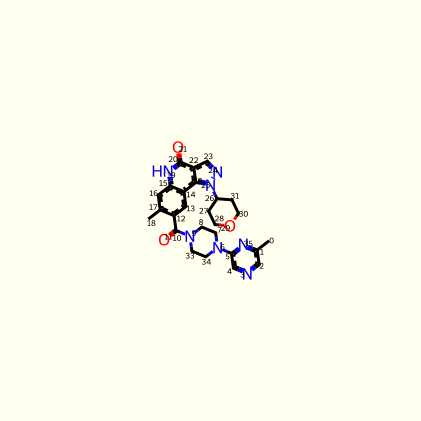 Cc1cncc(N2CCN(C(=O)c3cc4c(cc3C)[nH]c(=O)c3cnn(C5CCOCC5)c34)CC2)n1